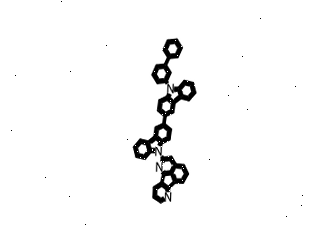 c1ccc(-c2cccc(-n3c4ccccc4c4cc(-c5ccc6c(c5)c5ccccc5n6-c5cc6cccc7c6c(n5)-c5cccnc5-7)ccc43)c2)cc1